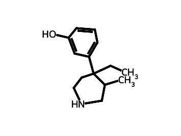 CCC1(c2cccc(O)c2)CCNCC1C